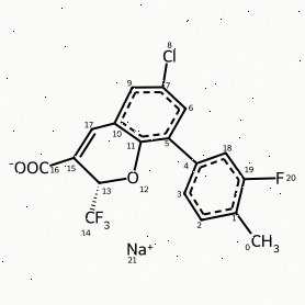 Cc1ccc(-c2cc(Cl)cc3c2O[C@H](C(F)(F)F)C(C(=O)[O-])=C3)cc1F.[Na+]